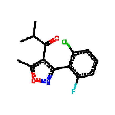 Cc1onc(-c2c(F)cccc2Cl)c1C(=O)C(C)C